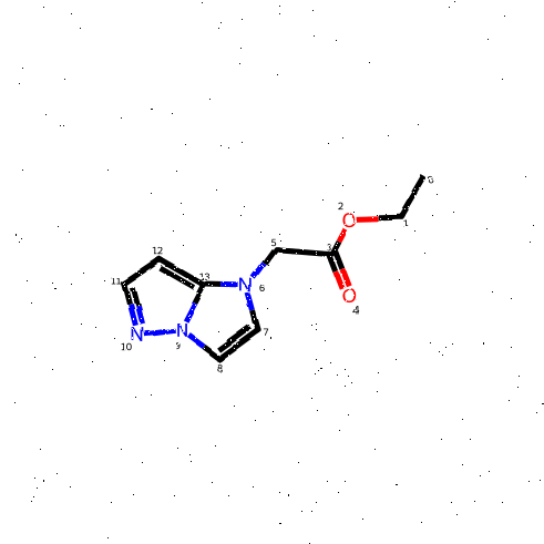 CCOC(=O)Cn1ccn2nccc12